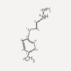 Cc1ccc(OCCNN)cc1